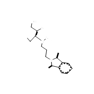 N/C(CO)=C(/CO)N(N)CCCN1C(=O)c2ccccc2C1=O